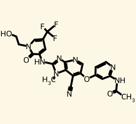 CC(=O)Nc1cc(Oc2cnc3nc(Nc4cc(C(F)(F)F)cn(CCO)c4=O)n(C)c3c2C#N)ccn1